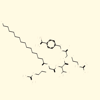 CCCCCCCCCCCCCCCC(=O)N[C@@H](CCCNC(=N)N)C(=O)NC(C(=O)N[C@@H](CCCNC(=N)N)C(=O)NCc1ccc(C(=N)N)cc1)C(C)C